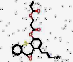 C=CC(=O)OCCC(=O)OC1=CC=C(C/C=C/CCC)C2C1Sc1ccccc1C1OC12